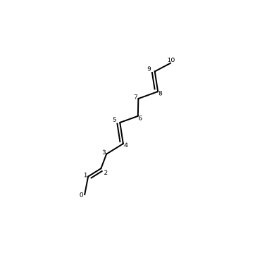 CC=CCC=CCCC=CC